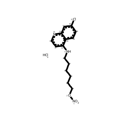 Cl.O=[N+]([O-])OCCCCCCNc1ccnc2cc(Cl)ccc12